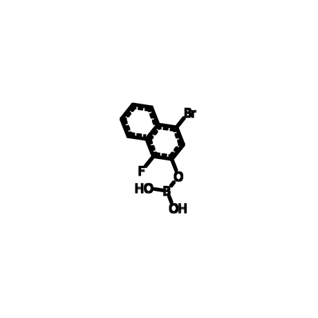 OB(O)Oc1cc(Br)c2ccccc2c1F